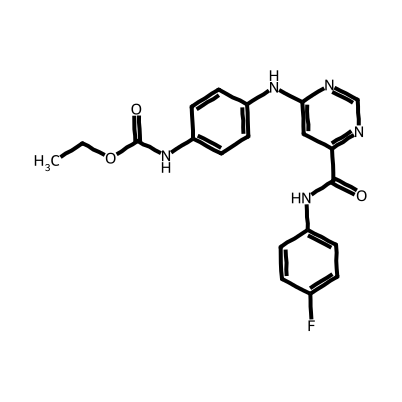 CCOC(=O)Nc1ccc(Nc2cc(C(=O)Nc3ccc(F)cc3)ncn2)cc1